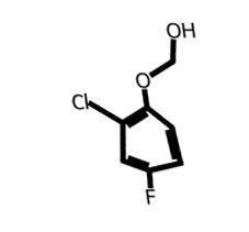 OCOc1ccc(F)cc1Cl